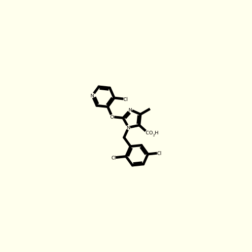 Cc1nc(Oc2cnccc2Cl)n(Cc2cc(Cl)ccc2Cl)c1C(=O)O